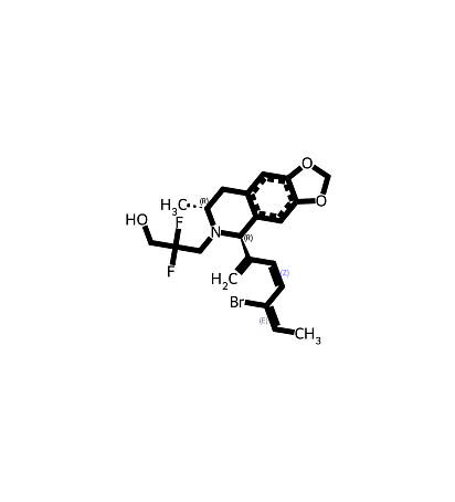 C=C(/C=C\C(Br)=C/C)[C@@H]1c2cc3c(cc2C[C@@H](C)N1CC(F)(F)CO)OCO3